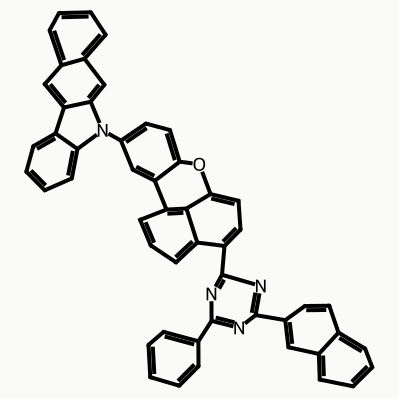 c1ccc(-c2nc(-c3ccc4ccccc4c3)nc(-c3ccc4c5c(cccc35)-c3cc(-n5c6ccccc6c6cc7ccccc7cc65)ccc3O4)n2)cc1